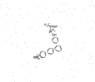 C.C.C.C.CC(C)O.CCCCCCCC.c1ccccc1.c1ccccc1.c1ccccc1.c1ccccc1